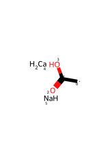 [CH2]C(=O)O.[CaH2].[NaH]